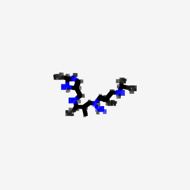 CCC/C(=C\N(N)CC(C)C(C#N)NCc1cnc(C(C)(C)C)[nH]1)CNC(C#N)C(C)C